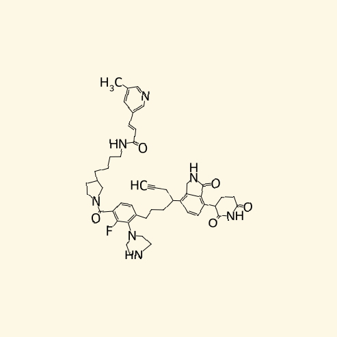 C#CCC(CCCc1ccc(C(=O)N2CCC(CCCCNC(=O)/C=C/c3cncc(C)c3)C2)c(F)c1N1CCNCC1)c1ccc(C2CCC(=O)NC2=O)c2c1CNC2=O